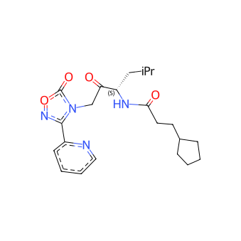 CC(C)C[C@H](NC(=O)CCC1CCCC1)C(=O)Cn1c(-c2ccccn2)noc1=O